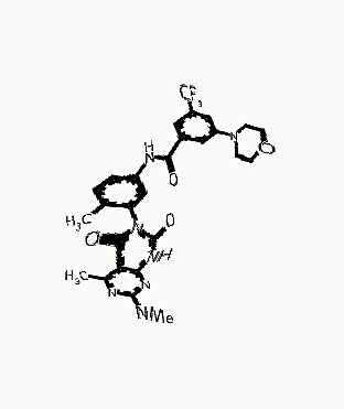 CNc1nc(C)c2c(=O)n(-c3cc(NC(=O)c4cc(N5CCOCC5)cc(C(F)(F)F)c4)ccc3C)c(=O)[nH]c2n1